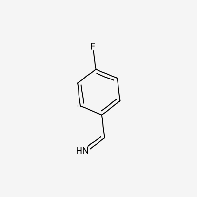 N=Cc1[c]cc(F)cc1